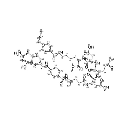 COC(=O)[C@H](CCCCNC(=O)c1ccc(N=[N+]=[N-])cc1)NC(=O)[C@H](CC(=O)O)NC(=O)[C@H](CCC(=O)O)NC(=O)[C@H](CC(=O)O)NC(=O)CC[C@@H](C)NC(=O)c1ccc(NCc2cnc3nc(N)nc(O)c3n2)cc1